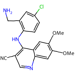 COc1cc2ncc(C#N)c(Nc3ccc(Cl)cc3CN)c2cc1OC